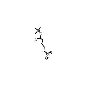 C[Si](C)(C)OC(=O)CCCC[N+](=O)[O-]